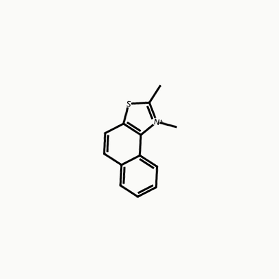 Cc1sc2ccc3ccccc3c2[n+]1C